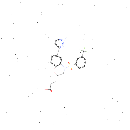 Cn1ccc(-c2ccc3c(c2)N(S(=O)(=O)c2cccc(C(F)(F)F)c2)C[C@H](CCC(=O)O)O3)n1